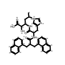 CC(C)CC(NC(=O)C(Cc1c[nH]cn1)NC(=O)C(Cc1cccc2ccccc12)Cc1cccc2ccccc12)C(O)C(=O)O